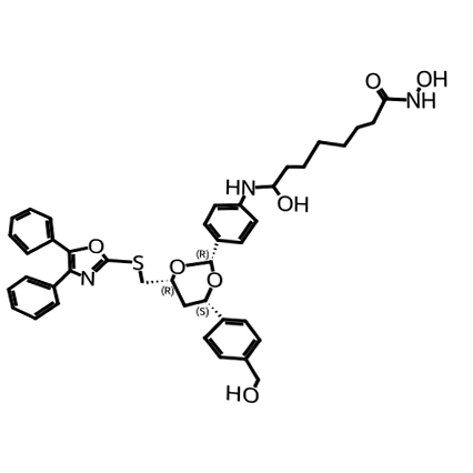 O=C(CCCCCCC(O)Nc1ccc([C@H]2O[C@@H](CSc3nc(-c4ccccc4)c(-c4ccccc4)o3)C[C@@H](c3ccc(CO)cc3)O2)cc1)NO